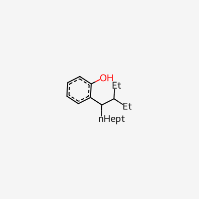 CCCCCCCC(c1ccccc1O)C(CC)CC